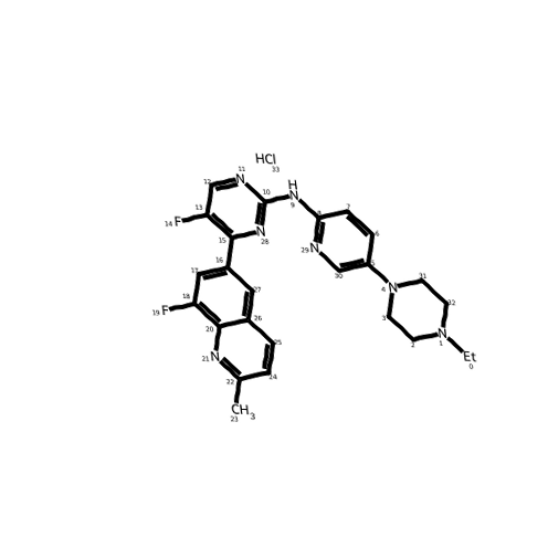 CCN1CCN(c2ccc(Nc3ncc(F)c(-c4cc(F)c5nc(C)ccc5c4)n3)nc2)CC1.Cl